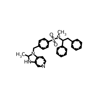 CC1Nc2cnccc2N1Cc1ccc(S(=O)(=O)N(C)C(Cc2ccccc2)c2ccccc2)cc1